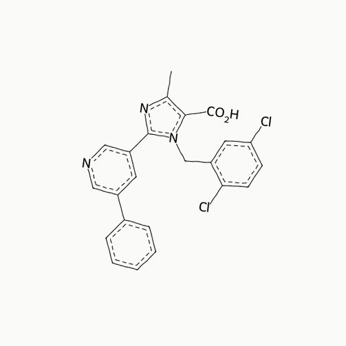 Cc1nc(-c2cncc(-c3ccccc3)c2)n(Cc2cc(Cl)ccc2Cl)c1C(=O)O